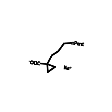 CCCCCCCCC1(C(=O)[O-])CC1.[Na+]